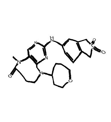 CN1C(=O)CCN(C2CCOCC2)c2nc(Nc3ccc4c(c3)CS(=O)(=O)C4)ncc21